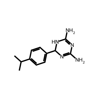 CC(C)c1ccc(C2N=C(N)N=C(N)N2)cc1